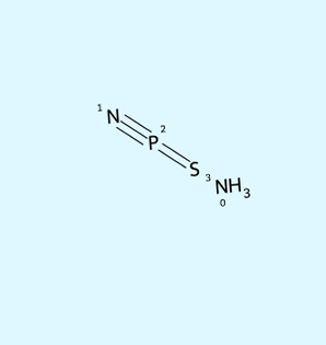 N.N#P=S